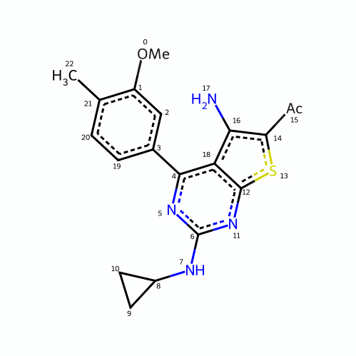 COc1cc(-c2nc(NC3CC3)nc3sc(C(C)=O)c(N)c23)ccc1C